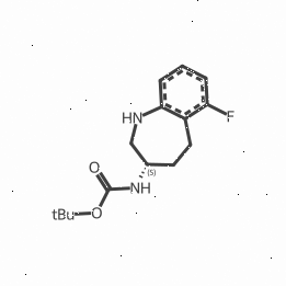 CC(C)(C)OC(=O)N[C@H]1CCc2c(F)cccc2NC1